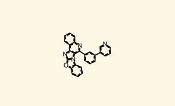 c1cncc(-c2cccc(-c3nc4ccccc4c4nc5oc6ccccc6n5c34)c2)c1